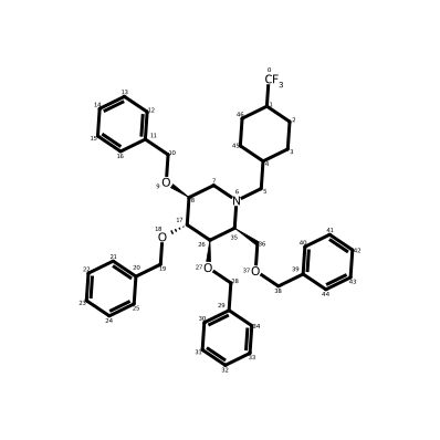 FC(F)(F)C1CCC(CN2C[C@H](OCc3ccccc3)[C@@H](OCc3ccccc3)[C@H](OCc3ccccc3)[C@@H]2COCc2ccccc2)CC1